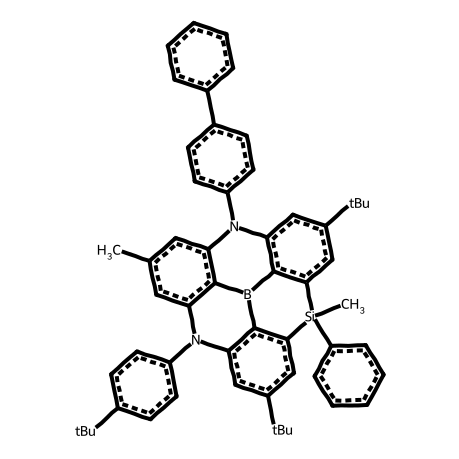 Cc1cc2c3c(c1)N(c1ccc(C(C)(C)C)cc1)c1cc(C(C)(C)C)cc4c1B3c1c(cc(C(C)(C)C)cc1[Si]4(C)c1ccccc1)N2c1ccc(-c2ccccc2)cc1